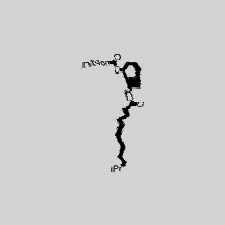 CCCCCCCCCC(=O)Oc1ccccc1OC(=O)CCCCCCCCC(C)C